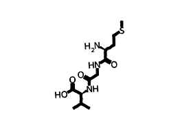 CSCC[C@H](N)C(=O)NCC(=O)N[C@H](C(=O)O)C(C)C